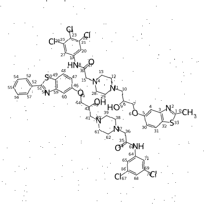 Cc1nc2cc(OCC(O)CN3CCN(CC(=O)Nc4cc(Cl)c(Cl)c(Cl)c4)CC3)ccc2s1.O=C(CN1CCN(CC(O)COc2ccc3sc(-c4ccccc4)nc3c2)CC1)Nc1cc(Cl)cc(Cl)c1